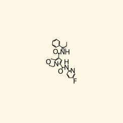 CC[C@@H](NC(=O)c1cc(C(=O)Nc2ccc(F)cn2)n2c1COCC2)c1ccccc1